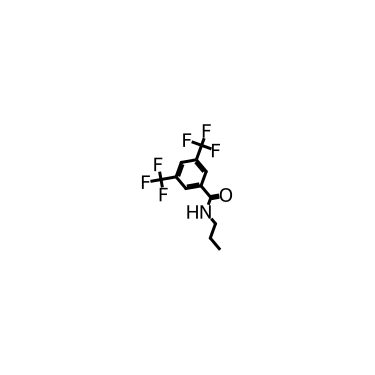 CCCNC(=O)c1cc(C(F)(F)F)cc(C(F)(F)F)c1